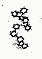 CC1(C)c2ccccc2-c2ccc(-c3ccnc(-c4cccc(-n5c6ccccc6c6ccc7c(cc8c9ccccc9c9ccccc9n87)c65)c4)n3)cc21